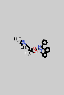 Cc1cc(C)n(CCCC[C@]2(C)CO[C@@H](c3nc(-c4ccccc4)c(-c4ccccc4)n3Cc3ccccc3)OC2)n1